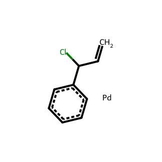 C=CC(Cl)c1ccccc1.[Pd]